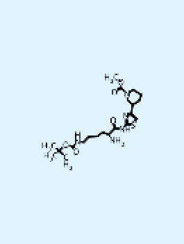 COC(=O)N1CCCC(c2csc(NC(=O)[C@@H](N)CCCCNC(=O)OC(C)(C)C)n2)C1